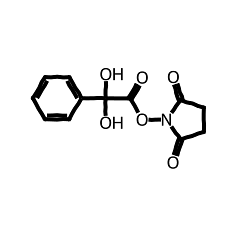 O=C1CCC(=O)N1OC(=O)C(O)(O)c1ccccc1